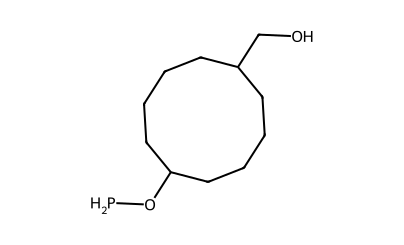 OCC1CCCCC(OP)CCCC1